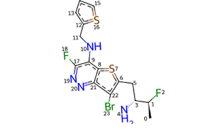 C[C@H](F)[C@H](N)Cc1sc2c(NCc3cccs3)c(F)nnc2c1Br